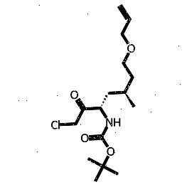 C=CCOCC[C@@H](C)C[C@H](NC(=O)OC(C)(C)C)C(=O)CCl